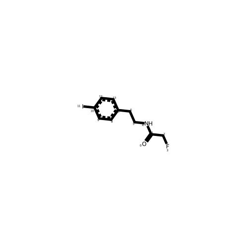 O=C(CF)NCCc1ccc(I)cc1